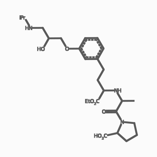 CCOC(=O)C(CCc1cccc(OCC(O)CNC(C)C)c1)NC(C)C(=O)N1CCCC1C(=O)O